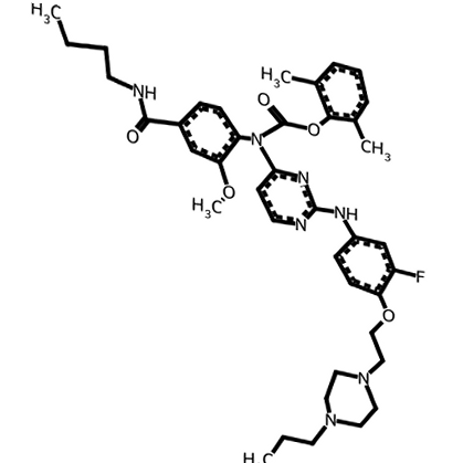 CCCCNC(=O)c1ccc(N(C(=O)Oc2c(C)cccc2C)c2ccnc(Nc3ccc(OCCN4CCN(CCC)CC4)c(F)c3)n2)c(OC)c1